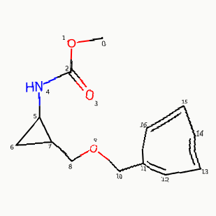 COC(=O)NC1CC1COCc1ccccc1